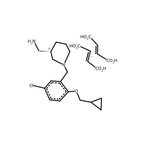 NC[C@@H]1CCCN(Cc2cc(Cl)ccc2OCC2CC2)C1.O=C(O)/C=C/C(=O)O.O=C(O)/C=C/C(=O)O